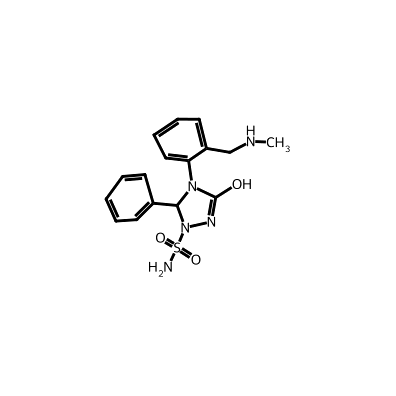 CNCc1ccccc1N1C(O)=NN(S(N)(=O)=O)C1c1ccccc1